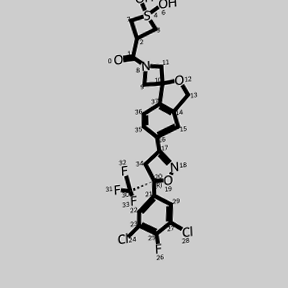 O=C(C1CS(O)(O)C1)N1CC2(C1)OCc1cc(C3=NO[C@](c4cc(Cl)c(F)c(Cl)c4)(C(F)(F)F)C3)ccc12